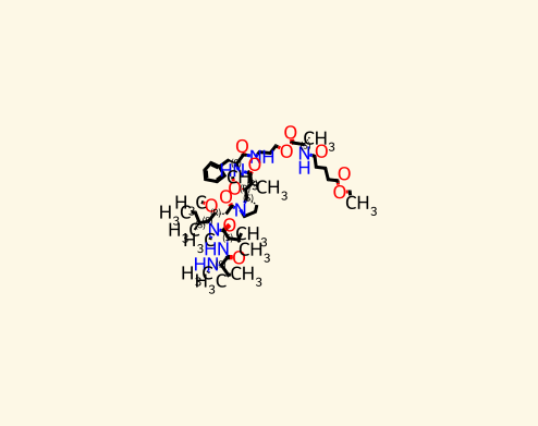 CCOC(=O)CCCC(=O)N[C@@H](C)C(=O)OCCCNC(=O)[C@H](Cc1ccccc1)NC(=O)[C@H](C)[C@@H](OC)[C@@H]1CCCN1C(=O)C[C@@H](OC)[C@H]([C@@H](C)CC)N(C)C(=O)[C@@H](NC(=O)[C@@H](NC)C(C)C)C(C)C